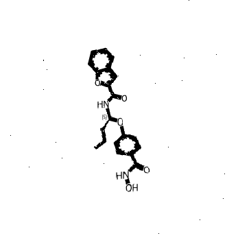 CCC[C@@H](NC(=O)c1cc2ccccc2o1)Oc1ccc(C(=O)NO)cc1